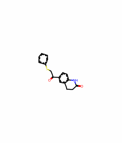 O=C1CCc2cc(C(=O)CSc3ccccc3)ccc2N1